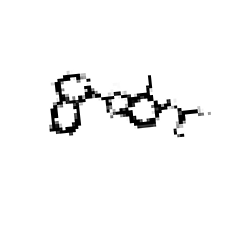 CCC(=O)Oc1ccc2nc(-c3nccc4ccccc34)oc2c1F